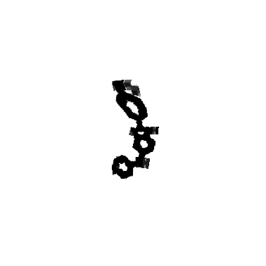 Nc1ccc(-c2nc3cc(Nc4ccncc4)ccc3[nH]2)cc1